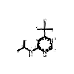 CC(C)Nc1cc(C(C)(C)C)ncn1